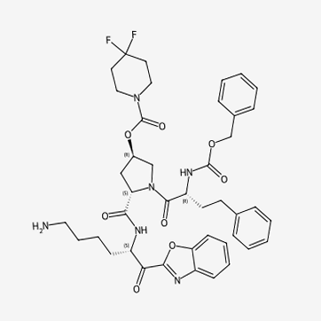 NCCCC[C@H](NC(=O)[C@@H]1C[C@@H](OC(=O)N2CCC(F)(F)CC2)CN1C(=O)[C@@H](CCc1ccccc1)NC(=O)OCc1ccccc1)C(=O)c1nc2ccccc2o1